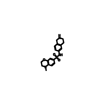 CN1CCOc2cc(S(=O)(=O)Nc3ccc4c(c3)CCNC4)ccc21